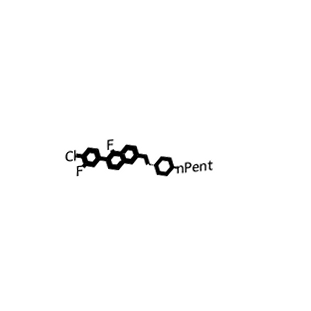 CCCCC[C@H]1CC[C@H](CCc2ccc3c(F)c(-c4ccc(Cl)c(F)c4)ccc3c2)CC1